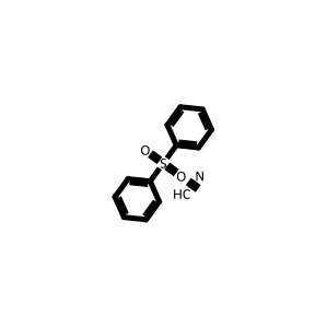 C#N.O=S(=O)(c1ccccc1)c1ccccc1